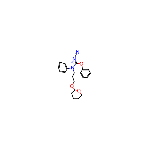 N#C/N=C(\Oc1ccccc1)N(CCCOC1CCCCO1)c1ccccc1